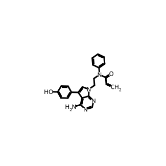 C=CC(=O)N(CCn1cc(-c2ccc(O)cc2)c2c(N)ncnc21)c1ccccc1